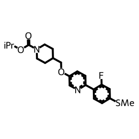 CSc1ccc(-c2ccc(OCC3CCN(C(=O)OC(C)C)CC3)cn2)c(F)c1